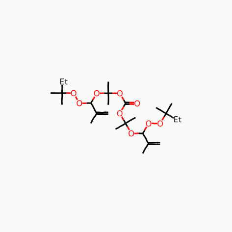 C=C(C)C(OOC(C)(C)CC)OC(C)(C)OC(=O)OC(C)(C)OC(OOC(C)(C)CC)C(=C)C